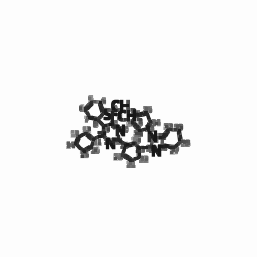 C[Si]1(C)c2ccccc2-c2c(-c3ccccc3)nc(-c3cccc(-c4nc5ccccc5n4-c4ccccc4)c3)nc21